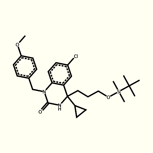 COc1ccc(CN2C(=O)NC(CCCO[Si](C)(C)C(C)(C)C)(C3CC3)c3cc(Cl)ccc32)cc1